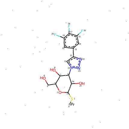 CCCSC1OC(CO)C(O)C(n2cc(-c3cc(F)c(F)c(F)c3)nn2)C1O